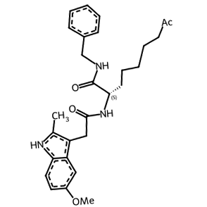 COc1ccc2[nH]c(C)c(CC(=O)N[C@@H](CCCCCC(C)=O)C(=O)NCc3ccccc3)c2c1